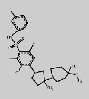 COC1(C)CCN(C2(C)CCN(c3cc(F)c(S(=O)(=O)Nc4cccc(F)n4)c(F)c3Cl)C2)CC1